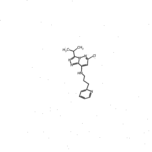 CC(C)c1nnc2c(NCCCc3ccccn3)cc(Cl)nn12